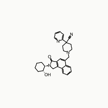 N#CC1(c2ccccn2)CCN(Cc2cc3c(c4ccccc24)CN([C@@H]2CCCC[C@H]2O)C3=O)CC1